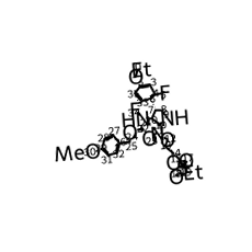 CCOc1cc(F)c([C@@H]2CN/C(=N\OCCOS(=O)(=O)CC)[C@H]2NC(=O)OCc2ccc(OC)cc2)c(F)c1